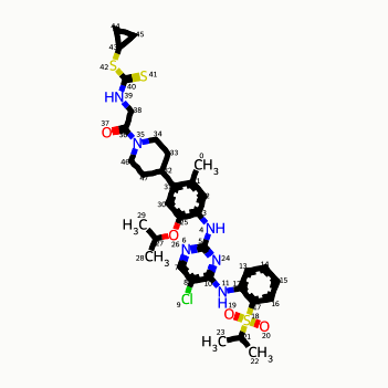 Cc1cc(Nc2ncc(Cl)c(Nc3ccccc3S(=O)(=O)C(C)C)n2)c(OC(C)C)cc1C1CCN(C(=O)CNC(=S)SC2CC2)CC1